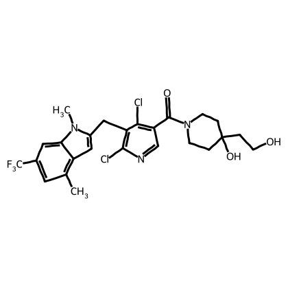 Cc1cc(C(F)(F)F)cc2c1cc(Cc1c(Cl)ncc(C(=O)N3CCC(O)(CCO)CC3)c1Cl)n2C